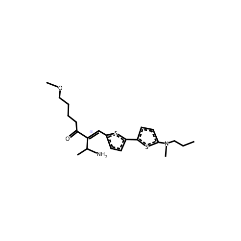 CCCN(C)c1ccc(-c2ccc(/C=C(/C(=O)CCCCOC)C(C)N)s2)s1